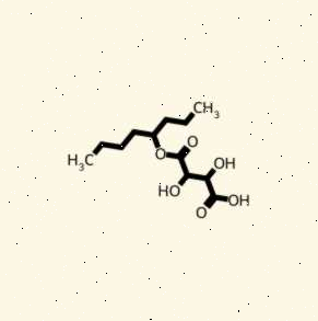 CCCCC(CCC)OC(=O)C(O)C(O)C(=O)O